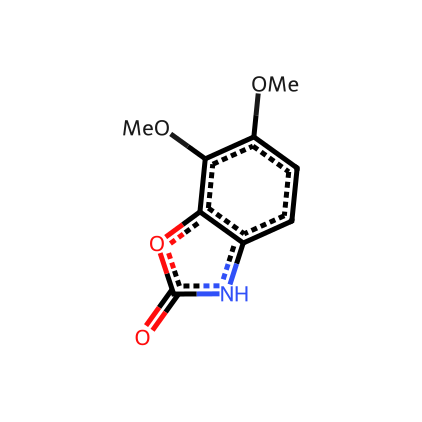 COc1ccc2[nH]c(=O)oc2c1OC